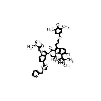 Cc1cc(OCCCc2c3n(c4c(-c5c(C)nn(C)c5C)c(Cl)ccc24)[C@H](C)CN(c2cn(CC(=O)N(C)C)c4ccc(-c5ncn(Cc6ccccn6)n5)cc24)C3=O)cc(C)c1Cl